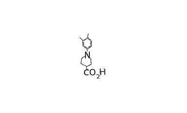 Cc1ccc(N2CCC(C(=O)O)CC2)cc1C